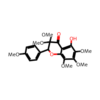 COc1ccc(C2Oc3c(OC)c(OC)c(OC)c(O)c3C(=O)C2(OC)OC)cc1